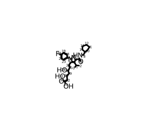 CC(C)c1c(C(=O)NCC2CCCCC2)nn(-c2ccc(F)cc2)c1C=C[C@H](O)C[C@@H](O)CC(=O)O